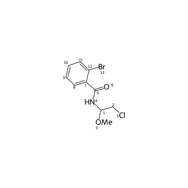 COC(CCl)NC(=O)c1ccccc1Br